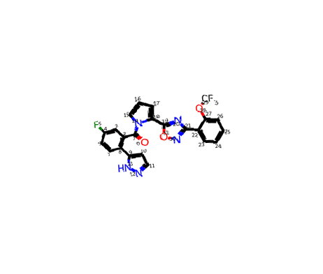 O=C(c1cc(F)ccc1-c1ccn[nH]1)n1cccc1-c1nc(-c2ccccc2OC(F)(F)F)no1